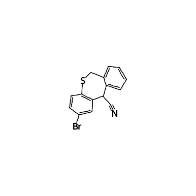 N#CC1c2ccccc2CSc2ccc(Br)cc21